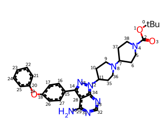 CC(C)(C)OC(=O)N1CCC(N2CCC(n3nc(-c4ccc(Oc5ccccc5)cc4)c4c(N)ncnc43)CC2)CC1